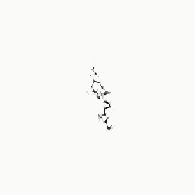 C=CC(=O)NC1CC(C)(C)N(S(=O)(=O)c2ccc(-c3cc(C(F)(F)F)on3)s2)C(C)(C)C1